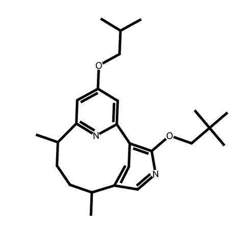 CC(C)COc1cc2nc(c1)C(C)CCC(C)c1cnc(OCC(C)(C)C)c-2c1